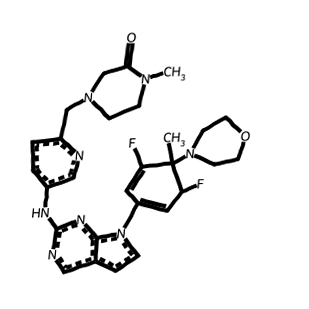 CN1CCN(Cc2ccc(Nc3ncc4ccn(C5=CC(F)C(C)(N6CCOCC6)C(F)=C5)c4n3)cn2)CC1=O